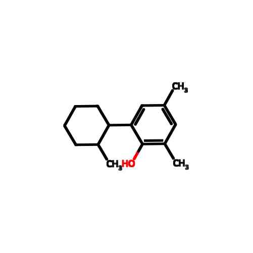 Cc1cc(C)c(O)c(C2CCCCC2C)c1